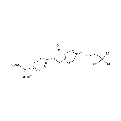 CCCCCN(CCCCC)c1ccc(C=Cc2cc[n+](CCC[N+](CC)(CC)CC)cc2)cc1.[Br-].[Br-]